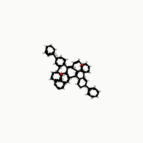 C=C(c1cc2ccccc2cc1/C(C1=CCC(c2ccccc2)C=C1c1ccccc1)=C1/C=CC=CC1)c1ccc(-c2ccccc2)cc1-c1ccccc1